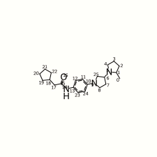 CC1CCCN1C1CCN(c2ccc(NC(=O)CC3CCCC3)cc2)C1